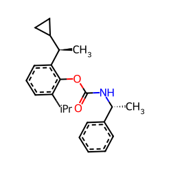 CC(C)c1cccc([C@H](C)C2CC2)c1OC(=O)N[C@H](C)c1ccccc1